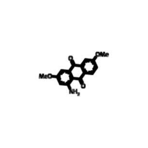 COc1ccc2c(c1)C(=O)c1cc(OC)cc(N)c1C2=O